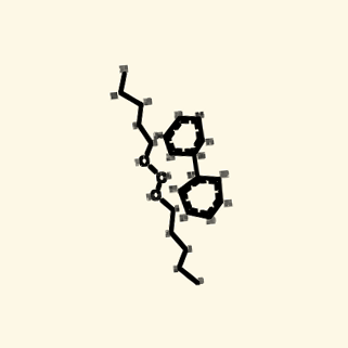 CCCCCOOOCCCCC.c1ccc(-c2ccccc2)cc1